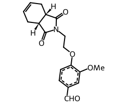 COc1cc(C=O)ccc1OCCN1C(=O)[C@H]2CC=CC[C@H]2C1=O